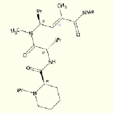 CNC(=O)/C(C)=C/[C@H](C(C)C)N(C)C(=O)[C@@H](NC(=O)[C@H]1CCCCN1C(C)C)C(C)C